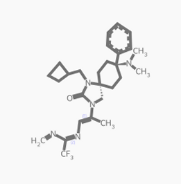 C=N/C(=N\C=C(/C)N1C[C@]2(CC[C@](c3ccccc3)(N(C)C)CC2)N(CC2CCC2)C1=O)C(F)(F)F